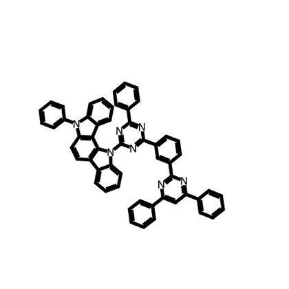 c1ccc(-c2cc(-c3ccccc3)nc(-c3cccc(-c4nc(-c5ccccc5)nc(-n5c6ccccc6c6ccc7c(c8ccccc8n7-c7ccccc7)c65)n4)c3)n2)cc1